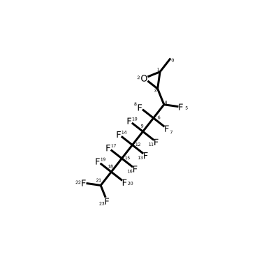 CC1OC1C(F)C(F)(F)C(F)(F)C(F)(F)C(F)(F)C(F)(F)C(F)F